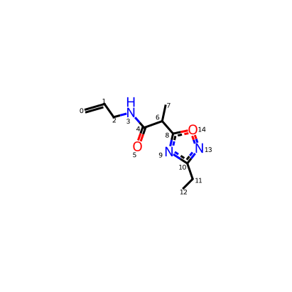 C=CCNC(=O)C(C)c1nc(CC)no1